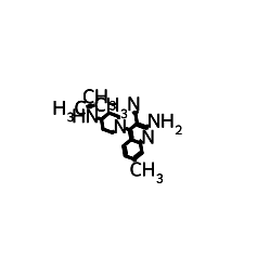 Cc1ccc2c(N3CCC(NC(C)(C)C)CC3)c(C#N)c(N)nc2c1